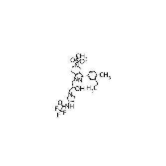 CCc1cc(-c2nn(CC(O)CN3CCC(NC(=O)C(F)(F)F)C3)c3c2CN(S(C)(=O)=O)CC3)ccc1C